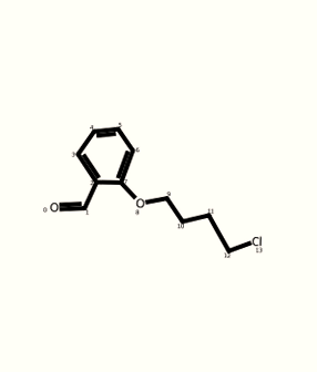 O=Cc1ccccc1OCCCCCl